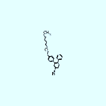 CCCCCCCOCCc1ccc(-c2cc(C#N)ccc2-c2ccccc2)cc1